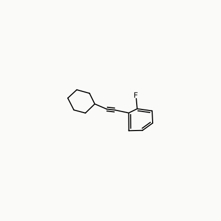 Fc1ccccc1C#CC1CCCCC1